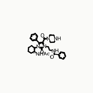 CC(=O)N[C@H]1CCCCC1n1c(-c2ccccc2)c(C(=O)N2CCNCC2)n(CCNC(=O)c2ccccc2)c1=O